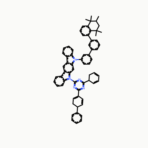 CC1CC(C)(C)c2c(-c3cccc(-c4cccc(-n5c6ccccc6c6cc7c8ccccc8n(-c8nc(C9=CCC(c%10ccccc%10)C=C9)nc(C9C=CC=CC9)n8)c7cc65)c4)c3)cccc2C1(C)C